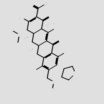 CCN(Cc1cc(O)c2c(c1C(F)(F)F)C[C@H]1C[C@H]3[C@H](N(C)C)C(O)=C(C(N)=O)C(=O)[C@@]3(O)C(O)=C1C2=O)[C@@H]1CCOC1